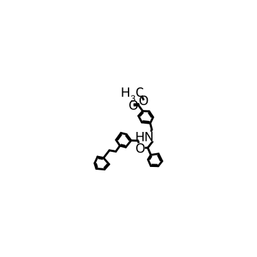 COC(=O)c1ccc(CNCC(OCc2cccc(CCc3ccccc3)c2)c2ccccc2)cc1